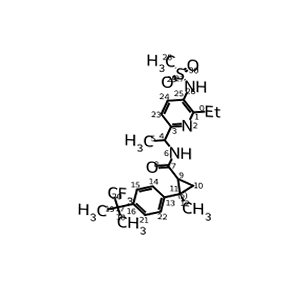 CCc1nc(C(C)NC(=O)C2C[C@]2(C)c2ccc(C(C)(C)C(F)(F)F)cc2)ccc1NS(C)(=O)=O